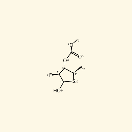 COC(=O)O[C@H]1[C@H](F)C(O)S[C@@H]1C